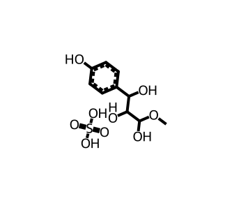 COC(O)C(O)C(O)c1ccc(O)cc1.O=S(=O)(O)O